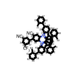 Cc1ccccc1-c1ccc2c3ccc(-c4ccccc4C)cc3n(-c3cc(C#N)c(-c4cc(C#N)cc(C(F)(F)F)c4)cc3-n3c4cc(-c5ccccc5C)ccc4c4ccc(-c5ccccc5C)cc43)c2c1